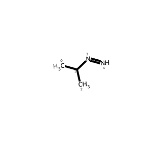 CC(C)N=N